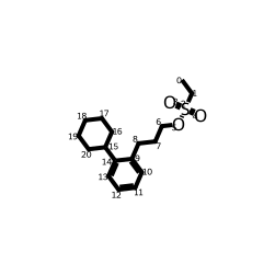 CCS(=O)(=O)OCCCc1ccccc1C1CCCCC1